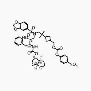 CC(C)(CN(C[C@@H](O)[C@H](Cc1ccccc1)NC(=O)O[C@H]1CO[C@H]2OCC[C@H]21)S(=O)(=O)c1ccc2c(c1)OCO2)C1CC(COC(=O)Oc2ccc([N+](=O)[O-])cc2)C1